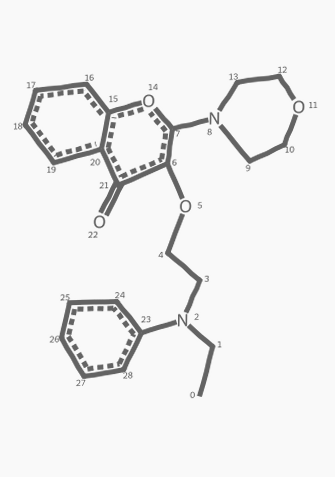 CCN(CCOc1c(N2CCOCC2)oc2ccccc2c1=O)c1ccccc1